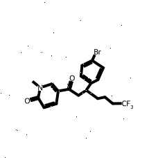 Cn1cc(C(=O)CC(CCCC(F)(F)F)c2ccc(Br)cc2)ccc1=O